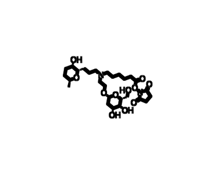 C[C@H]1CC[C@H](O)[C@H](CCCN(CCCCCC(=O)ON2C(=O)CCC2=O)CCO[C@@H]2C[C@@H](O)[C@H](O)[C@@H](CO)O2)O1